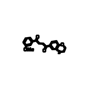 COc1cccc(C(=O)CCC(=O)c2ccc3c(c2)SCCO3)c1